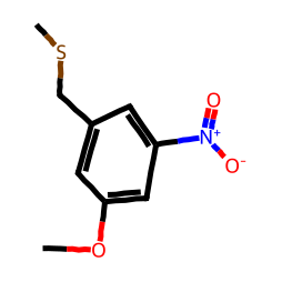 COc1cc(CSC)cc([N+](=O)[O-])c1